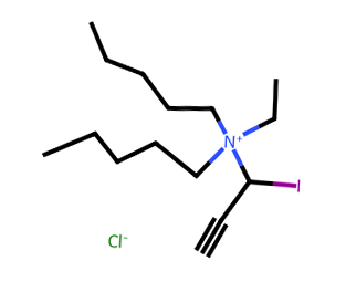 C#CC(I)[N+](CC)(CCCCC)CCCCC.[Cl-]